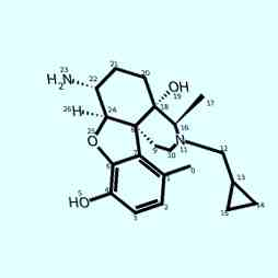 Cc1ccc(O)c2c1[C@]13CCN(CC4CC4)[C@H](C)[C@]1(O)CC[C@@H](N)[C@@H]3O2